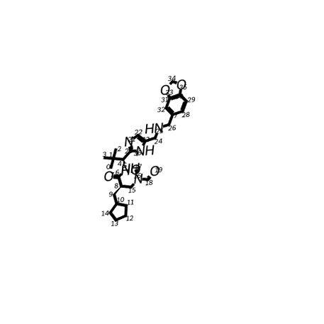 CC(C)(C)[C@H](NC(=O)[C@H](CC1CCCC1)CN(O)C=O)c1ncc(CNCc2ccc3c(c2)OCO3)[nH]1